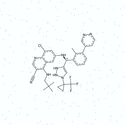 Cc1c(-c2ccnnc2)cccc1[C@H](Nc1cc(Cl)c2ncc(C#N)c(NCC(C)(C)C)c2c1)C1=CN(C2(C(F)(F)F)CC2)NN1